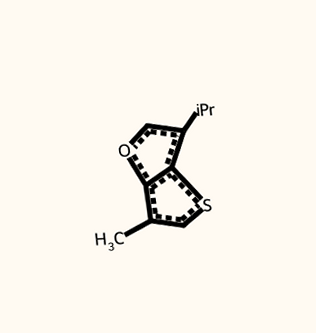 Cc1csc2c(C(C)C)coc12